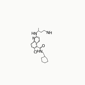 CNCCC(C)Nc1ccc2c(C(=O)NCC3CCCCC3)c(Cl)ccc2n1